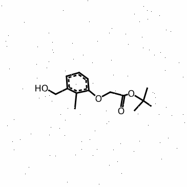 Cc1c(CO)cccc1OCC(=O)OC(C)(C)C